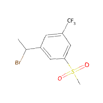 CC(Br)c1cc(C(F)(F)F)cc(S(C)(=O)=O)c1